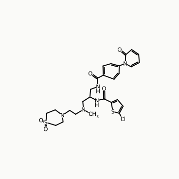 CN(CCN1CCS(=O)(=O)CC1)CC(CNC(=O)c1ccc(-n2ccccc2=O)cc1)NC(=O)c1ccc(Cl)s1